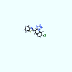 Clc1ccc2cc(-c3nc4ccccc4s3)c3nnnn3c2c1